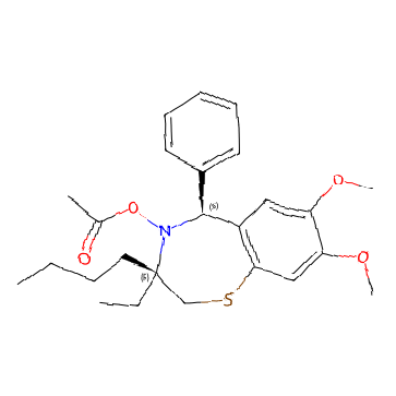 CCCC[C@]1(CC)CSc2cc(OC)c(OC)cc2[C@H](c2ccccc2)N1OC(C)=O